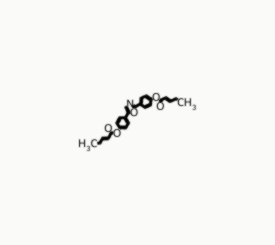 CCC=CC(=O)Oc1ccc(-c2cnc(-c3ccc(OC(=O)C=CCC)cc3)o2)cc1